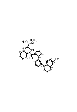 CN[C@@H](C)C(=O)N[C@H](C(=O)N1CCC[C@H]1c1ccnc(N2CCCc3cc(F)ccc32)c1)C1CCCCC1